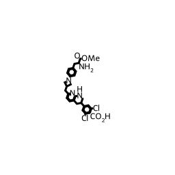 COC(=O)[C@@H](N)Cc1ccc(N2CC(Cc3ccc4c(n3)NCC(c3cc(Cl)c(C(=O)O)c(Cl)c3)C4)C2)cc1